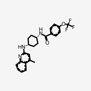 Cc1cc(N[C@H]2CC[C@@H](NC(=O)c3ccc(OC(F)(F)F)cc3)CC2)nc2ccccc12